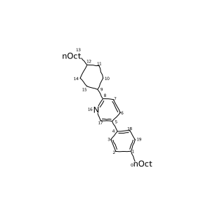 CCCCCCCCc1ccc(-c2ccc(C3CCC(CCCCCCCC)CC3)nc2)cc1